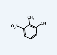 [CH2]c1c(C#N)cccc1[N+](=O)[O-]